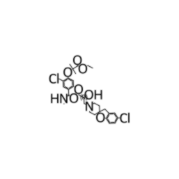 CCOC(=O)C(C)(C)Oc1cc(OC[C@H](O)CN2CCC3(CC2)Cc2cc(Cl)ccc2O3)c(C(=O)NC)cc1Cl